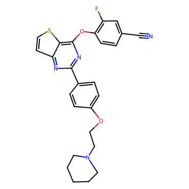 N#Cc1ccc(Oc2nc(-c3ccc(OCCN4CCCCC4)cc3)nc3ccsc23)c(F)c1